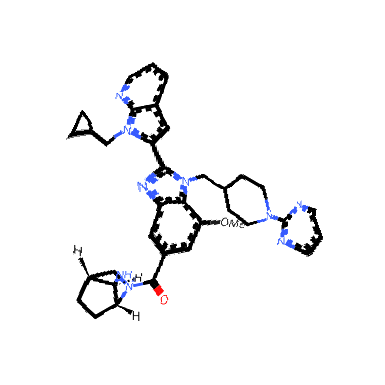 COc1cc(C(=O)N2C[C@H]3CC[C@@H]2[C@@H]3N)cc2nc(-c3cc4cccnc4n3CC3CC3)n(CC3CCN(c4ncccn4)CC3)c12